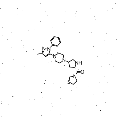 Cc1cc(N2CCN(C3CN[C@H](C(=O)N4CCSC4)C3)CC2)n(-c2ccccc2)n1